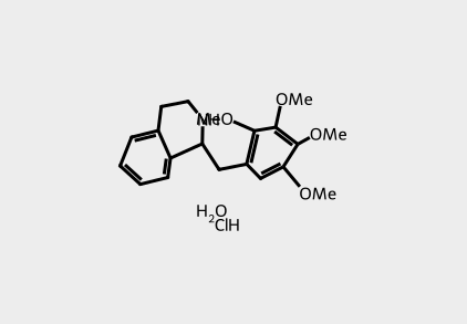 COc1cc(CC2NCCc3ccccc32)c(OC)c(OC)c1OC.Cl.O